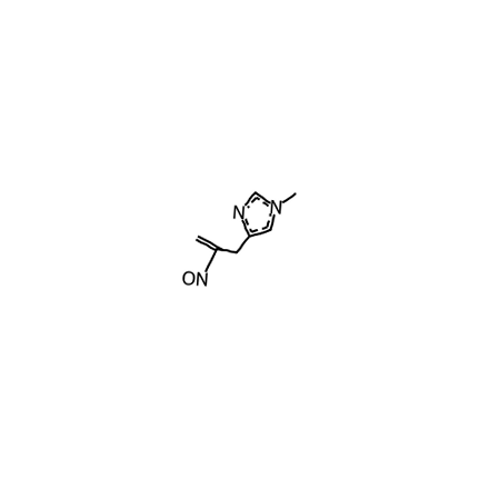 C=C(Cc1cn(C)cn1)N=O